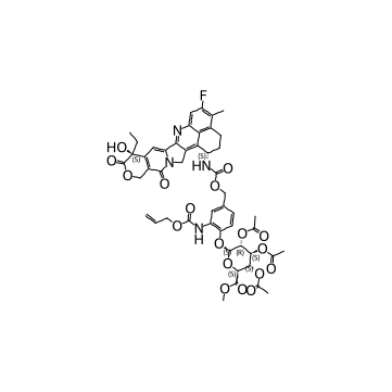 C=CCOC(=O)Nc1cc(COC(=O)N[C@H]2CCc3c(C)c(F)cc4nc5c(c2c34)Cn2c-5cc3c(c2=O)COC(=O)[C@]3(O)CC)ccc1O[C@@H]1O[C@H](C(=O)OC)[C@@H](OC(C)=O)[C@H](OC(C)=O)[C@H]1OC(C)=O